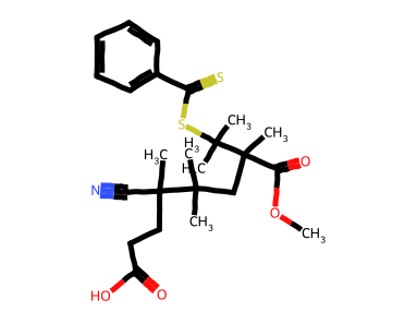 COC(=O)C(C)(CC(C)(C)C(C)(C#N)CCC(=O)O)C(C)(C)SC(=S)c1ccccc1